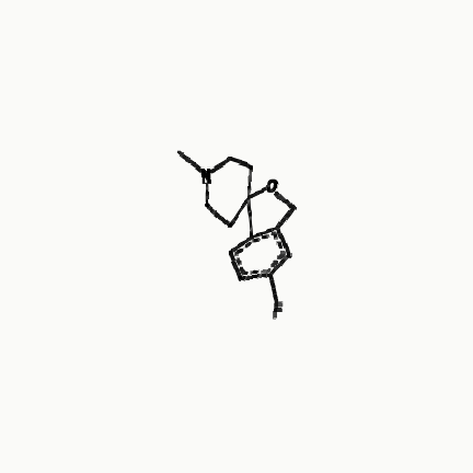 CN1CCC2(CC1)OCc1cc(F)ccc12